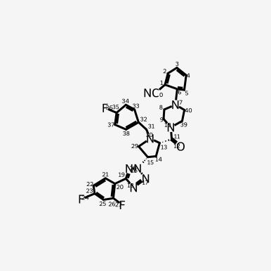 N#Cc1ccccc1N1CCN(C(=O)[C@@H]2C[C@H](n3nnc(-c4ccc(F)cc4F)n3)CN2Cc2ccc(F)cc2)CC1